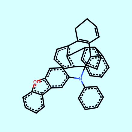 C1=CC2=C(CC1)c1cccc3c1-c1cc(N(c4ccccc4)c4ccc5oc6ccccc6c5c4)ccc1-c1cccc-3c12